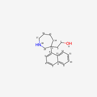 OCCC1(c2cccc3ccccc23)CCCCNC1